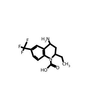 CCC1CC(N)c2cc(C(F)(F)F)ccc2N1C(=O)O